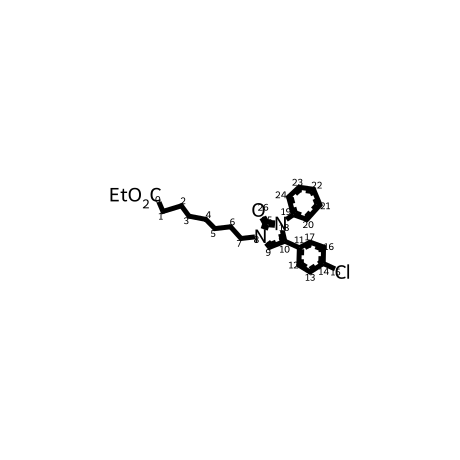 CCOC(=O)CCCCCCCn1cc(-c2ccc(Cl)cc2)n(-c2ccccc2)c1=O